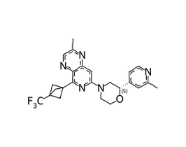 Cc1cc([C@H]2CN(c3cc4nc(C)cnc4c(C45CC(C(F)(F)F)(C4)C5)n3)CCO2)ccn1